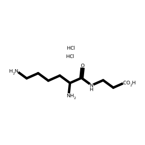 Cl.Cl.NCCCCC(N)C(=O)NCCC(=O)O